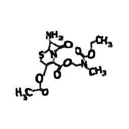 CCOC(=O)N(C)COC(=O)C1=C(COC(C)=O)CSC2C(N)C(=O)N12